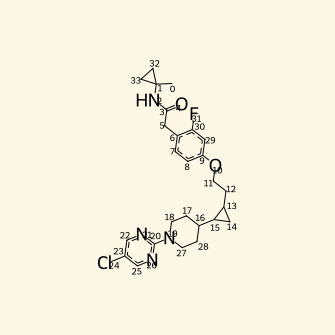 CC1(NC(=O)Cc2ccc(OCCC3CC3C3CCN(c4ncc(Cl)cn4)CC3)cc2F)CC1